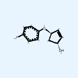 O[C@H]1C=C[C@H](Oc2ccc(F)cc2)C1